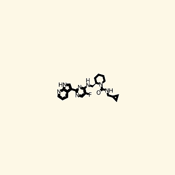 O=C(NCC1CC1)N1CCCC[C@@H]1CNc1nc(-c2c[nH]c3ncccc23)ncc1F